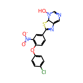 O=[N+]([O-])c1cc(C2=NC3=CN=CN(O)C3S2)ccc1Oc1ccc(Cl)cc1